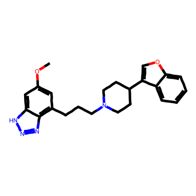 COc1cc(CCCN2CCC(c3coc4ccccc34)CC2)c2nn[nH]c2c1